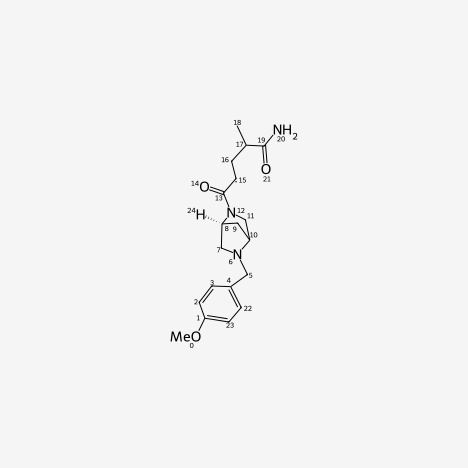 COc1ccc(CN2C[C@@H]3CC2CN3C(=O)[CH]CC(C)C(N)=O)cc1